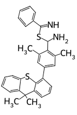 Cc1cc(-c2cccc3c2Sc2ccccc2C3(C)C)cc(C)c1C(N)SC(=N)c1ccccc1